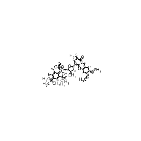 COc1ccc(Cn2c(=O)c(C)cn(C3CC(C)C(COP4(=O)OCc5c(F)c(C(C)(C)C)cc(C(C)(C)C)c5O4)O3)c2=O)cc1OC